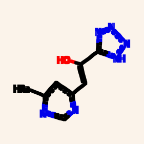 O/C(=C\c1c[c]([RaH])ncn1)c1nnn[nH]1